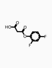 O=C(O)CC(=O)Oc1ccc(F)cc1F